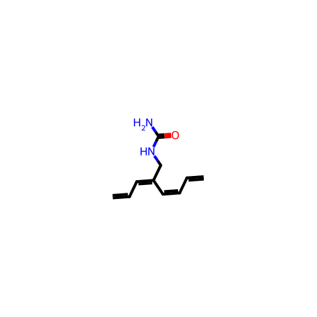 C=C/C=C\C(=C/C=C)CNC(N)=O